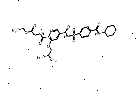 CCOC(=O)CNC(=O)c1ncc(C(=O)NS(=O)(=O)c2ccc(C(=O)NC3CCCCC3)cc2)cc1OCC(C)C